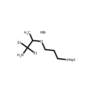 Br.CCCCCCCCCCOC(C)C(N)(CC)CC